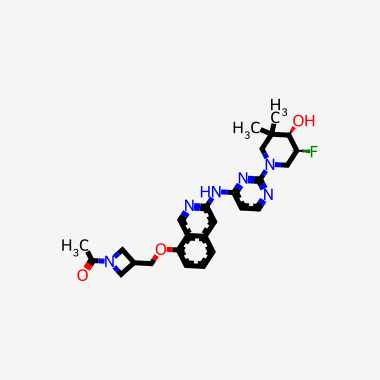 CC(=O)N1CC(COc2cccc3cc(Nc4ccnc(N5C[C@H](F)[C@H](O)C(C)(C)C5)n4)ncc23)C1